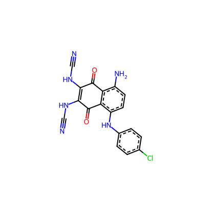 N#CNC1=C(NC#N)C(=O)c2c(Nc3ccc(Cl)cc3)ccc(N)c2C1=O